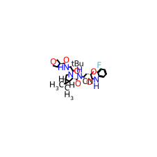 CC(C)(C)C(NC(=O)[C@H]1CCOC1)C(=O)N1C[C@H]2[C@@H]([C@H]1C(=O)NC(C#N)C[C@@H]1Oc3c(F)cccc3NC1=O)C2(C)C